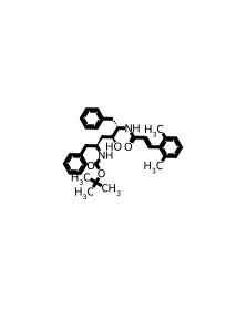 Cc1cccc(C)c1/C=C/C(=O)N[C@@H](Cc1ccccc1)[C@@H](O)C[C@H](Cc1ccccc1)NC(=O)OC(C)(C)C